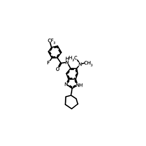 CN(C)c1cc2[nH]c(C3CCCCC3)nc2cc1NC(=O)c1ccc(C(F)(F)F)cc1F